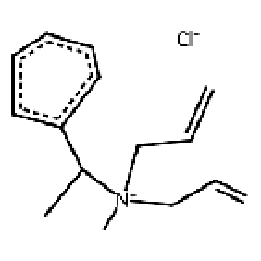 C=CC[N+](C)(CC=C)C(C)c1ccccc1.[Cl-]